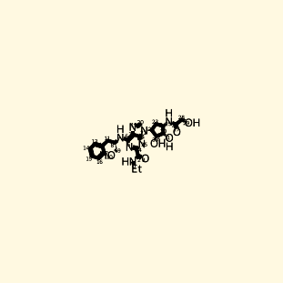 CCNC(=O)c1nc(N[C@H](CO)Cc2ccccc2)c2ncn([C@@H]3C[C@H](NC(=O)CO)[C@@H](O)[C@H]3O)c2n1